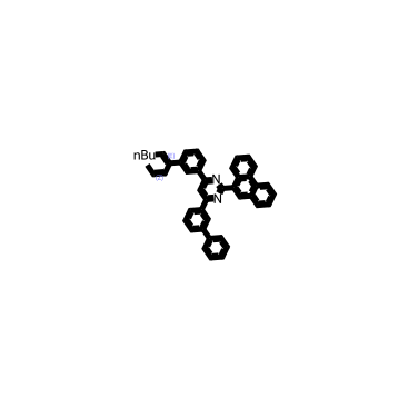 C/C=C\C(=C/CCCC)c1cccc(-c2cc(-c3cccc(-c4ccccc4)c3)nc(-c3cc4ccccc4c4ccccc34)n2)c1